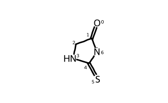 O=C1CNC(=S)[N]1